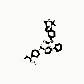 CC1(C)OC(=O)c2cc3cc(NC(=O)[C@@H]4[C@@H](c5ccccc5)CCN4C(=O)[C@H]4CC[C@H](C(N)CF)CC4)ccc3n21